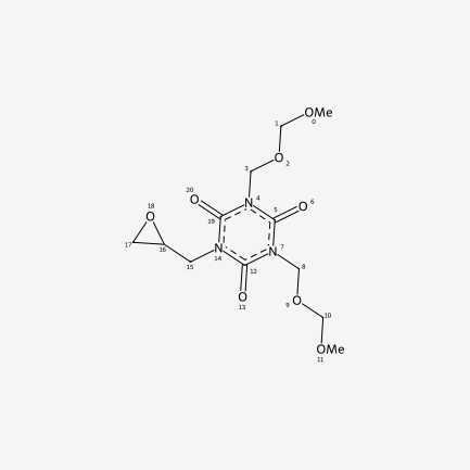 COCOCn1c(=O)n(COCOC)c(=O)n(CC2CO2)c1=O